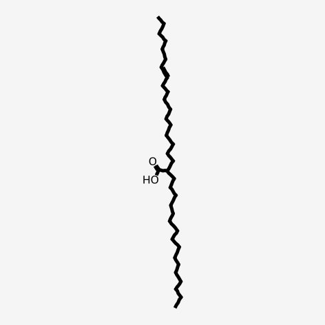 CCCCCCC=CCCCCCCCCCCC(CCCCCCCCCCCCCCCC)C(=O)O